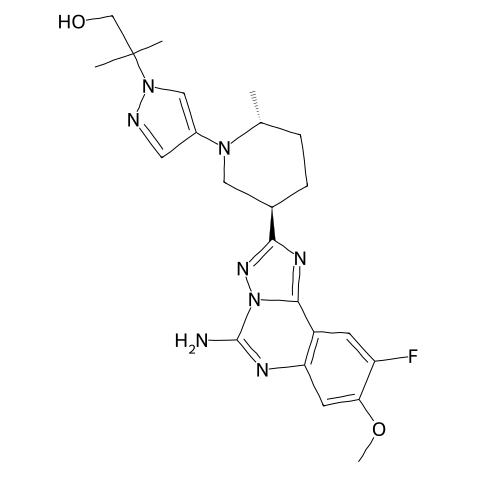 COc1cc2nc(N)n3nc([C@@H]4CC[C@@H](C)N(c5cnn(C(C)(C)CO)c5)C4)nc3c2cc1F